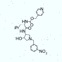 CC(C)C[C@H](NC(=O)OCc1ccncc1)C(=O)NC1CN(Cc2cccc([N+](=O)[O-])c2)CC1O